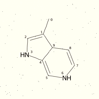 CC1=CNC2=CNC=CC12